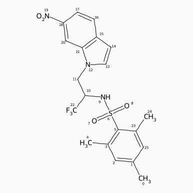 Cc1cc(C)c(S(=O)(=O)NC(Cn2ccc3ccc([N+](=O)[O-])cc32)C(F)(F)F)c(C)c1